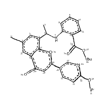 Cc1cc(C(C)Nc2ccccc2C(=O)OC(C)(C)C)c2oc(-c3ccc(OC(C)C)nc3)cc(=O)c2c1